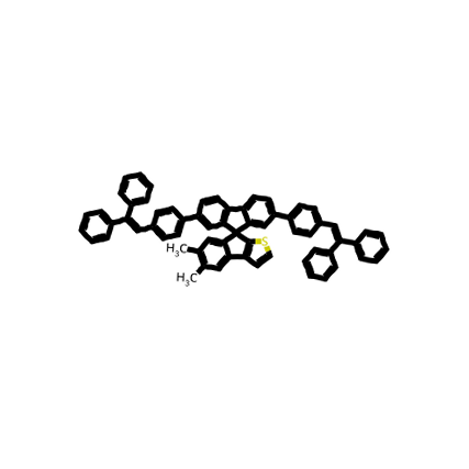 Cc1cc2c(cc1C)C1(c3cc(-c4ccc(C=C(c5ccccc5)c5ccccc5)cc4)ccc3-c3ccc(-c4ccc(C=C(c5ccccc5)c5ccccc5)cc4)cc31)c1sccc1-2